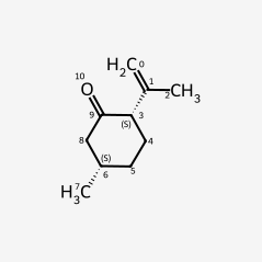 C=C(C)[C@@H]1CC[C@H](C)CC1=O